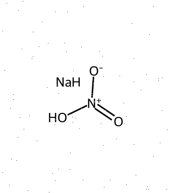 O=[N+]([O-])O.[NaH]